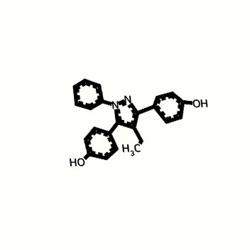 CCc1c(-c2ccc(O)cc2)nn(-c2ccccc2)c1-c1ccc(O)cc1